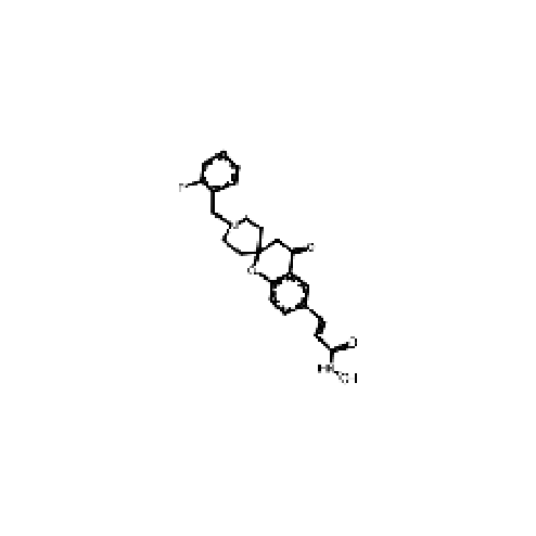 O=C(C=Cc1ccc2c(c1)C(=O)CC1(CCN(Cc3ccccc3F)CC1)O2)NO